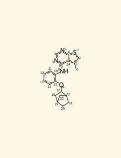 Cc1csc2ncnc(Nc3ccccc3OC3CC4CCC3C4)c12